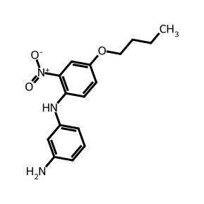 CCCCOc1ccc(Nc2cccc(N)c2)c([N+](=O)[O-])c1